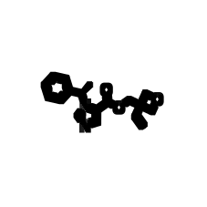 C=CC1(COC(=O)c2cncn2[C@H](C)c2ccccc2)COC1